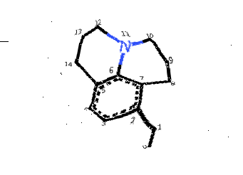 CCc1ccc2c3c1CCCN3CCC2